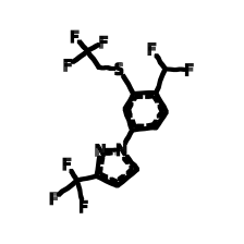 FC(F)c1ccc(-n2ccc(C(F)(F)F)n2)cc1SCC(F)(F)F